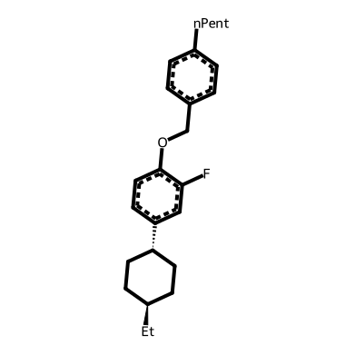 CCCCCc1ccc(COc2ccc([C@H]3CC[C@H](CC)CC3)cc2F)cc1